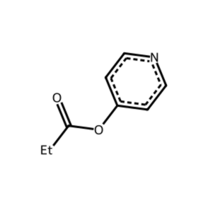 CCC(=O)Oc1ccncc1